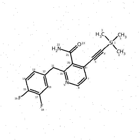 C[Si](C)(C)C#Cc1ccnc(Cc2ccc(F)c(F)c2)c1C(N)=O